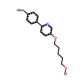 CCCCCCCCCc1ccc(-c2ccc(OCCCCCOCC)cn2)cc1